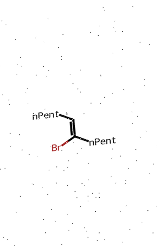 CCCCC/C=C(\Br)CCCCC